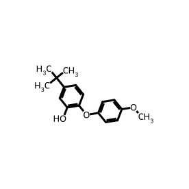 COc1ccc(Oc2ccc(C(C)(C)C)cc2O)cc1